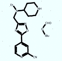 CC(C)(C)OC=O.CCN(Cc1noc(-c2ccnc(C#N)c2)n1)C1CCNCC1